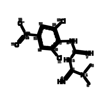 CN(C)C(=N)NC(=N)Nc1c(Cl)cc([N+](=O)[O-])cc1Cl